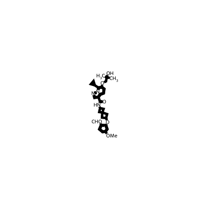 COc1ccc(C=O)c(OC2CC3(CC(NC(=O)c4cnn5c(C6CC6)c(OCC(C)(C)O)ccc45)C3)C2)c1